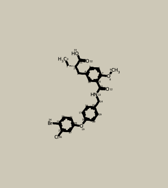 CC[C@@H](Cc1ccc(OC)c(C(=O)NCc2ccc(Oc3ccc(Br)c(Cl)c3)cc2)c1)C(=O)O